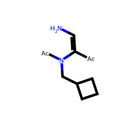 CC(=O)/C(=C/N)N(CC1CCC1)C(C)=O